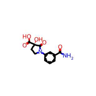 NC(=O)c1cccc(N2CC[C@@](O)(C(=O)O)C2=O)c1